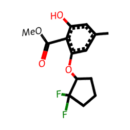 COC(=O)c1c(O)cc(C)cc1OC1CCCC1(F)F